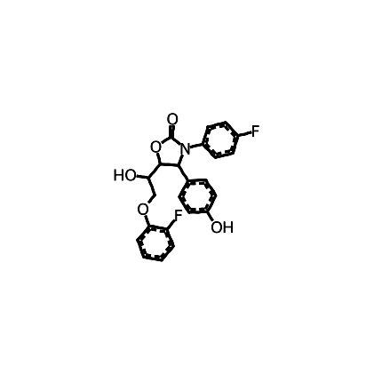 O=C1OC(C(O)COc2ccccc2F)C(c2ccc(O)cc2)N1c1ccc(F)cc1